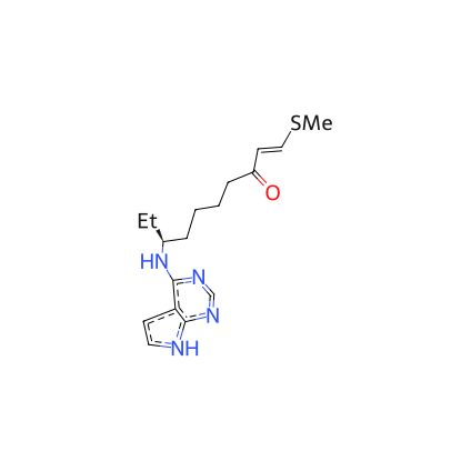 CC[C@@H](CCCCC(=O)/C=C/SC)Nc1ncnc2[nH]ccc12